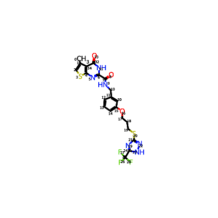 Cc1csc2nc(C(=O)NCc3cccc(OCCCSc4n[nH]c(C(F)(F)F)n4)c3)[nH]c(=O)c12